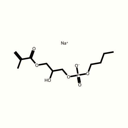 C=C(C)C(=O)OCC(O)COP(=O)([O-])OCCCC.[Na+]